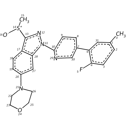 Cc1ccc(F)c(-c2ccc(-n3nc([S+](C)[O-])c4ccc(N5CCOCC5)cc43)nc2)c1